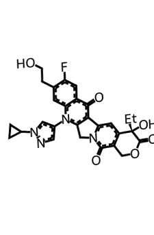 CC[C@@]1(O)C(=O)OCc2c1cc1n(c2=O)Cc2c-1c(=O)c1cc(F)c(CCO)cc1n2-c1cnn(C2CC2)c1